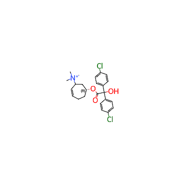 C[N+](C)(C)C1C=CCC[C@@H](OC(=O)C(O)(c2ccc(Cl)cc2)c2ccc(Cl)cc2)C1